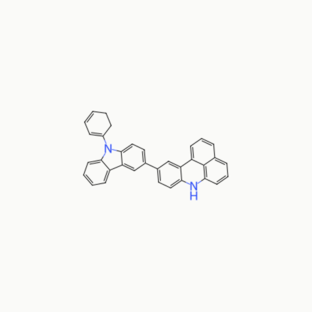 C1=CCCC(n2c3ccccc3c3cc(-c4ccc5c(c4)-c4cccc6cccc(c46)N5)ccc32)=C1